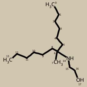 CCCCCCC(C)(CCCCCC)NCCO